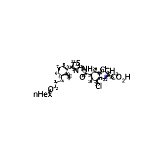 CCCCCCOCCCc1cccc(-c2csc(NC(=O)c3cc(Cl)c(/C=C(\C)C(=O)O)c(Cl)c3)n2)c1F